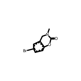 CN1Cc2cc(Br)ccc2OC1=O